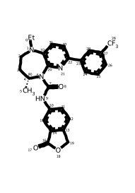 CCN1CC[C@@H](C)N(C(=O)Nc2ccc3c(c2)C(=O)OC3)c2nc(-c3cccc(C(F)(F)F)c3)ccc21